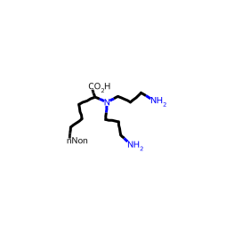 CCCCCCCCCCCCC(C(=O)O)N(CCCN)CCCN